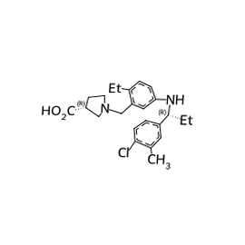 CCc1ccc(N[C@H](CC)c2ccc(Cl)c(C)c2)cc1CN1CC[C@@H](C(=O)O)C1